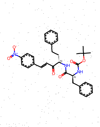 CC(C)(C)OC(=O)N[C@@H](Cc1ccccc1)C(=O)N[C@@H](CCc1ccccc1)C(=O)[C]=Cc1ccc([N+](=O)[O-])cc1